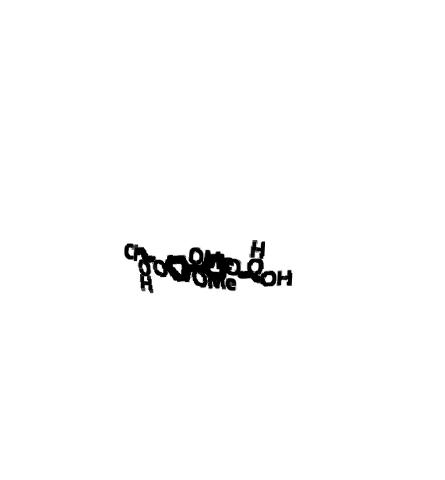 COC(OC)(c1ccc(OCC(O)CO)cc1)c1ccc(OCC(O)CCl)cc1